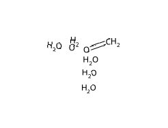 C=O.O.O.O.O.O